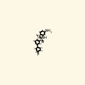 COc1ccc(N)cc1NS(=O)(=O)c1cccc(-c2ccc(F)cc2)c1